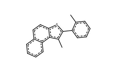 Cc1ccccc1-c1sc2ccc3ccccc3c2c1C